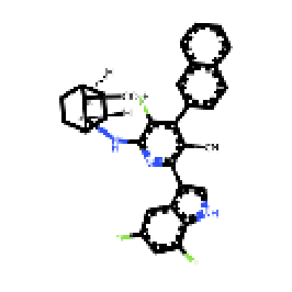 N#Cc1c(-c2c[nH]c3c(F)cc(F)cc23)nc(N[C@@H]2C3CCC(CC3)[C@H]2C(=O)O)c(F)c1-c1ccc2ccccc2c1